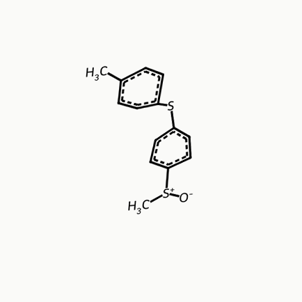 Cc1ccc(Sc2ccc([S+](C)[O-])cc2)cc1